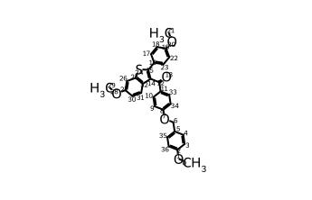 COc1ccc(COc2ccc(C(=O)c3c(-c4ccc(OC)cc4)sc4cc(OC)ccc34)cc2)cc1